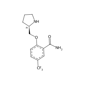 NC(=O)c1cc(C(F)(F)F)ccc1OC[C@H]1CCCN1